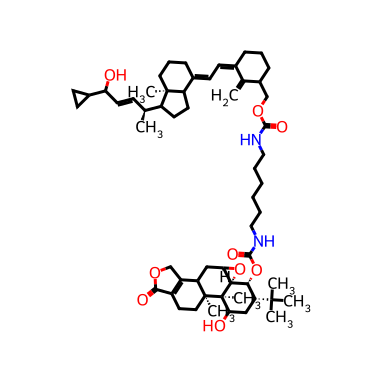 C=C1/C(=C\C=C2/CCC[C@@]3(C)C2CCC3[C@@H](C)/C=C/C(O)C2CC2)CCCC1COC(=O)NCCCCCCNC(=O)O[C@@H]1[C@H](C(C)(C)C)CC(O)[C@]2(C)[C@]13O[C@H]3CC1C3=C(CC[C@@]12C)C(=O)OC3